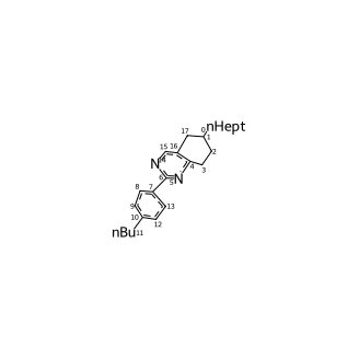 CCCCCCCC1CCc2nc(-c3ccc(CCCC)cc3)ncc2C1